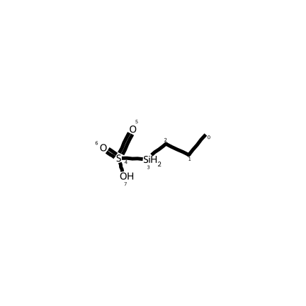 CCC[SiH2]S(=O)(=O)O